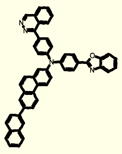 c1ccc2cc(-c3ccc4c(ccc5cc(N(c6ccc(-c7nc8ccccc8o7)cc6)c6ccc(-c7nncc8ccccc78)cc6)ccc54)c3)ccc2c1